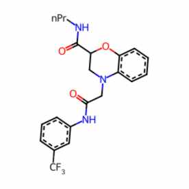 CCCNC(=O)C1CN(CC(=O)Nc2cccc(C(F)(F)F)c2)c2ccccc2O1